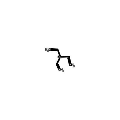 C=[CH][Sn]([CH]=C)[CH]=C